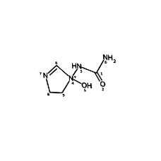 NC(=O)N[N+]1(O)C=NCC1